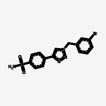 NS(=O)(=O)c1ccc(-c2cn(Cc3cccc(Br)c3)nn2)cc1